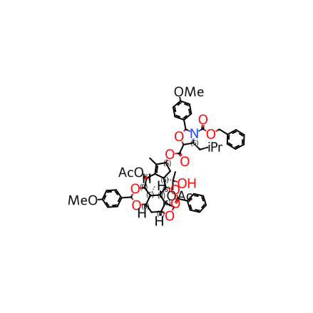 COc1ccc(C2O[C@H]3C[C@H]4OC[C@@]4(OC(C)=O)[C@H]4[C@H](OC(=O)c5ccccc5)[C@]5(C(C)(C)O)C[C@H](OC(=O)C6OC(c7ccc(OC)cc7)N(C(=O)OCc7ccccc7)[C@H]6CC(C)C)C(C)=C5[C@H](OC(C)=O)[C@H](O2)[C@]34C)cc1